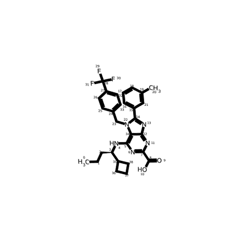 CCC[C@@H](Nc1nc(C(=O)O)nc2nc(-c3cccc(C)c3)n(Cc3ccc(C(F)(F)F)cc3)c12)C1CCC1